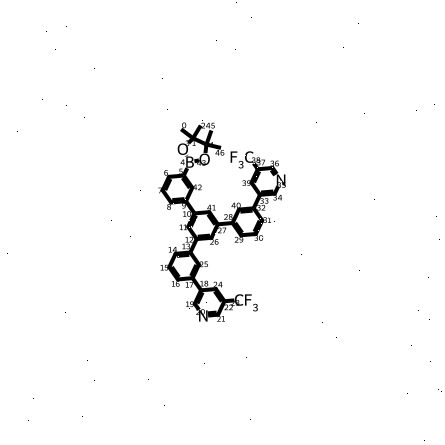 CC1(C)OB(c2cccc(-c3cc(-c4cccc(-c5cncc(C(F)(F)F)c5)c4)cc(-c4cccc(-c5cncc(C(F)(F)F)c5)c4)c3)c2)OC1(C)C